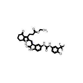 CCOC(=O)CCc1c(/C=C2\C(=O)Nc3ccc(NC(=O)Nc4ccc(Cl)c(C(F)(F)F)c4)cc32)[nH]c2c1C(=O)CCC2